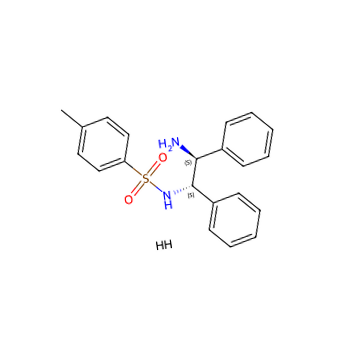 Cc1ccc(S(=O)(=O)N[C@@H](c2ccccc2)[C@@H](N)c2ccccc2)cc1.[HH]